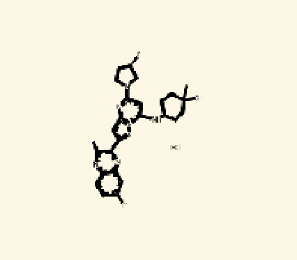 Cc1nc2ccc(F)cc2nc1-c1cc2nc(N3CC[C@@H](F)C3)cc(NC3CCC(C)(O)CC3)n2n1.Cl